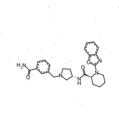 NC(=O)c1cccc(CN2CC[C@H](NC(=O)[C@@H]3CCCCN3c3nc4ccccc4o3)C2)c1